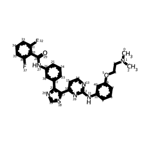 CN(C)CCOc1cccc(Nc2nccc(-c3scnc3-c3cccc(NC(=O)c4c(F)cccc4F)c3)n2)c1